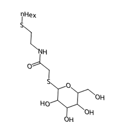 CCCCCCSCCNC(=O)CSC1OC(CO)C(O)C(O)C1O